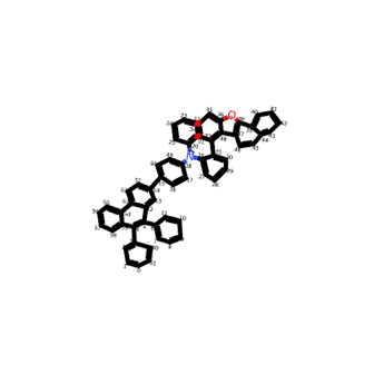 c1ccc(-c2c(-c3ccccc3)c3cc(-c4ccc(N(c5ccccc5)c5ccccc5-c5cccc6oc7c8ccccc8ccc7c56)cc4)ccc3c3ccccc23)cc1